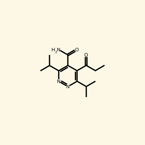 CCC(=O)c1c(C(C)C)nnc(C(C)C)c1C(N)=O